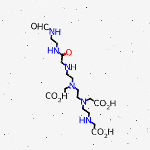 O=CNCCNC(=O)CNCCN(CCN(CCNCC(=O)O)CC(=O)O)CC(=O)O